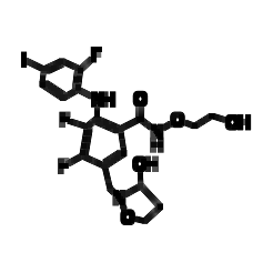 O=C(NOCCO)c1cc(CN2OCCC2O)c(F)c(F)c1Nc1ccc(I)cc1F